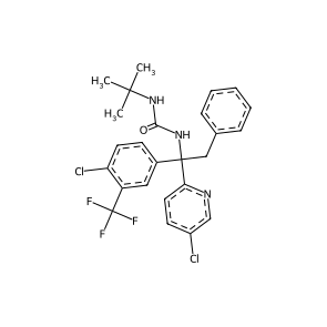 CC(C)(C)NC(=O)NC(Cc1ccccc1)(c1ccc(Cl)c(C(F)(F)F)c1)c1ccc(Cl)cn1